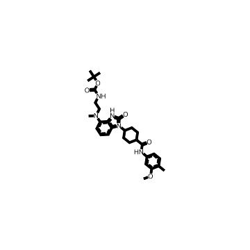 COc1cc(NC(=O)C2CCC(n3c(=O)[nH]c4c(N(C)CCNC(=O)OC(C)(C)C)cccc43)CC2)ccc1C